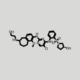 COc1c(Nc2ncc(Cl)c(Nc3ccccc3S(=O)(=O)N3CC[C@H](O)C3)n2)ccc2c1CCCC(NCCO)C2